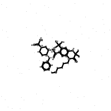 COCCCCN1C(=O)C(C)(C)Oc2cc(C(F)(F)F)c(C(=O)N[C@H]3CN(C(=O)O)CC[C@H]3Cc3ccccc3)cc21